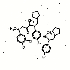 CN(CC(=O)N(C)C(CN1CCCC1)c1ccc(Br)cc1)c1ccc(Cl)c(Cl)c1.CNC(CN1CCCC1)c1ccc(Br)cc1